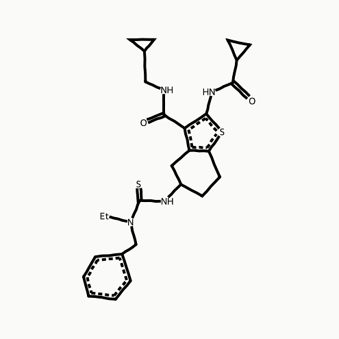 CCN(Cc1ccccc1)C(=S)NC1CCc2sc(NC(=O)C3CC3)c(C(=O)NCC3CC3)c2C1